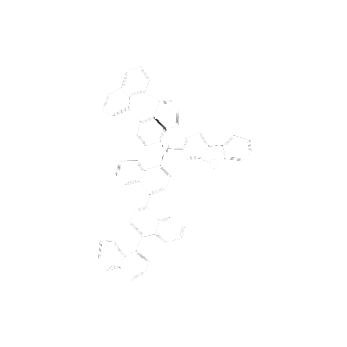 c1ccc(-c2cccc3cccc(-c4ccc(N(c5ccc6c(c5)oc5ccccc56)c5ccc(-c6ccc(-c7cccc8ccccc78)c7ccccc67)c6ccccc56)cc4)c23)cc1